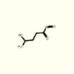 CC(O)CCC(=O)N=O